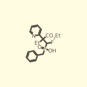 CCOC(=O)C(CC)(c1ccccn1)C(F)P(=O)(O)Cc1ccccc1